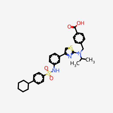 CC(C)N(Cc1ccc(C(=O)O)cc1)c1nc(-c2cccc(NS(=O)(=O)c3ccc(C4CCCCC4)cc3)c2)cs1